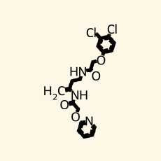 C=C(CCNC(=O)COc1ccc(Cl)c(Cl)c1)NC(=O)COc1ccccn1